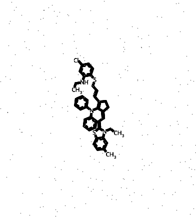 CCNc1cc(Cl)ccc1SC/C=C/C1=C(N(c2ccccc2)c2ccccc2)C(=C\C=C2\Sc3ccc(C)cc3N2CC)/CC1